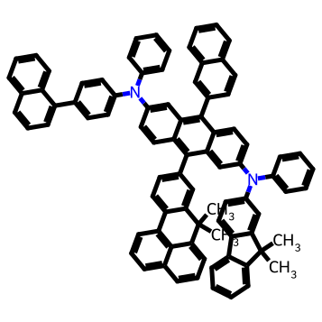 CC1(C)c2ccccc2-c2ccc(N(c3ccccc3)c3ccc4c(-c5ccc6ccccc6c5)c5cc(N(c6ccccc6)c6ccc(-c7cccc8ccccc78)cc6)ccc5c(-c5ccc6c(c5)C(C)(C)c5cccc7cccc-6c57)c4c3)cc21